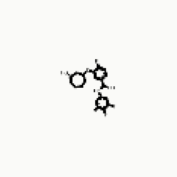 OC(Nc1cc(F)c(F)c(F)c1)c1ccc(F)c(SC2CCCC[C@@H](O)C2)c1